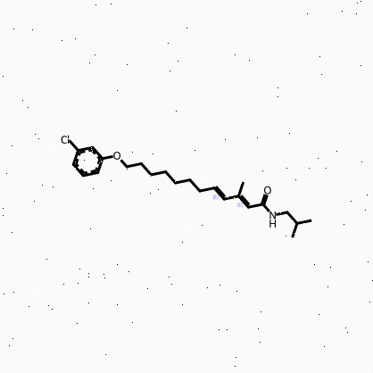 CC(/C=C/CCCCCCCOc1cccc(Cl)c1)=C\C(=O)NCC(C)C